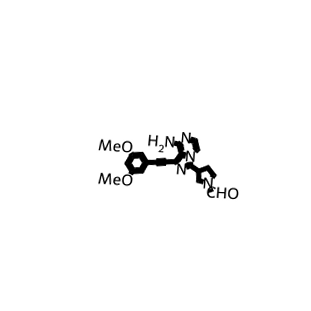 COc1cc(C#Cc2nc(C3CCN(C=O)C3)n3ccnc(N)c23)cc(OC)c1